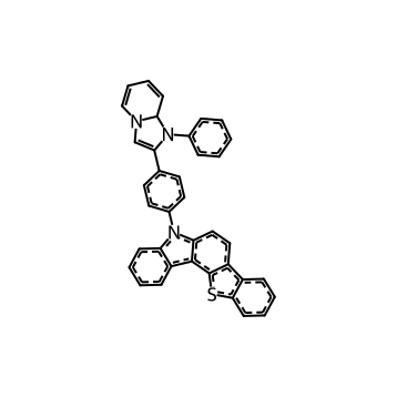 C1=CC2N(C=C1)C=C(c1ccc(-n3c4ccccc4c4c5sc6ccccc6c5ccc43)cc1)N2c1ccccc1